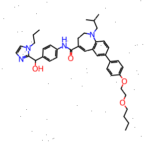 CCCCOCCOc1ccc(-c2ccc3c(c2)C=C(C(=O)Nc2ccc(C(O)c4nccn4CCC)cc2)CCN3CC(C)C)cc1